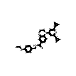 CCSc1ccc(CNC(=O)c2ccc3c(c2)OCCN3c2cc(C3CC3)nc(C3CC3)c2)cc1